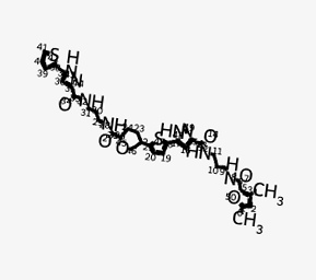 Cc1cc(C)c(C(=O)NCCCNC(=O)c2cc(-c3ccc(C4CCC(C(=O)NCCCNC(=O)c5cc(-c6cccs6)[nH]n5)OC4)s3)[nH]n2)o1